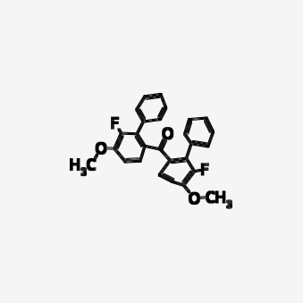 COc1ccc(C(=O)c2ccc(OC)c(F)c2-c2ccccc2)c(-c2ccccc2)c1F